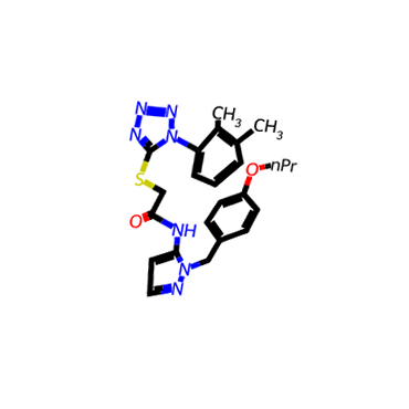 CCCOc1ccc(Cn2nccc2NC(=O)CSc2nnnn2-c2cccc(C)c2C)cc1